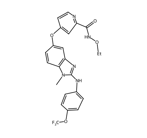 CCONC(=O)c1cc(Oc2ccc3c(c2)nc(Nc2ccc(OC(F)(F)F)cc2)n3C)ccn1